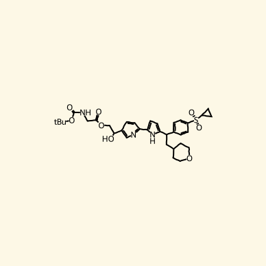 CC(C)(C)OC(=O)NCC(=O)OCC(O)c1ccc(-c2ccc(C(CC3CCOCC3)c3ccc(S(=O)(=O)C4CC4)cc3)[nH]2)nc1